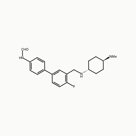 CN[C@H]1CC[C@H](NCc2cc(-c3ccc(NC=O)cc3)ccc2F)CC1